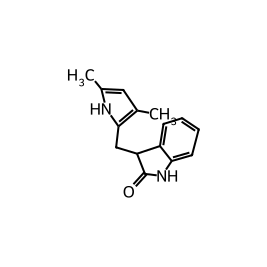 Cc1cc(C)c(CC2C(=O)Nc3ccccc32)[nH]1